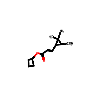 CC1(C)C(C=CC(=O)OC2CCC2)C1C(=O)O